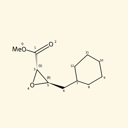 COC(=O)[C@H]1O[C@@H]1CC1CCCCC1